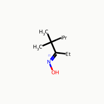 CC/C(=N\O)C(C)(C)C(C)C